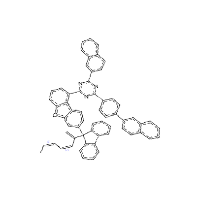 C=C(/C=C\C=C/C)C1(c2ccc3c(c2)oc2cccc(-c4nc(-c5ccc(-c6ccc7ccccc7c6)cc5)nc(-c5ccc6ccccc6c5)n4)c23)c2ccccc2-c2ccccc21